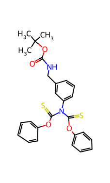 CC(C)(C)OC(=O)NCc1cccc(N(C(=S)Oc2ccccc2)C(=S)Oc2ccccc2)c1